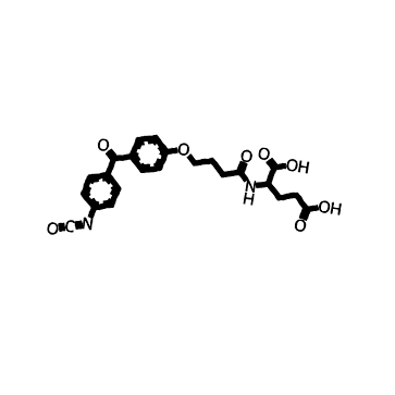 O=C=Nc1ccc(C(=O)c2ccc(OCCCC(=O)NC(CCC(=O)O)C(=O)O)cc2)cc1